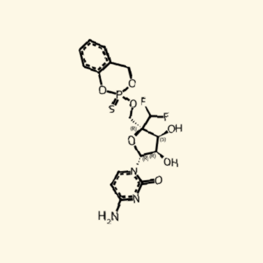 Nc1ccn([C@@H]2O[C@@](COP3(=S)OCc4ccccc4O3)(C(F)F)[C@@H](O)[C@H]2O)c(=O)n1